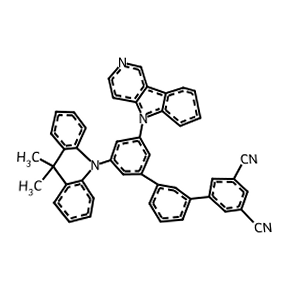 CC1(C)c2ccccc2N(c2cc(-c3cccc(-c4cc(C#N)cc(C#N)c4)c3)cc(-n3c4ccccc4c4cnccc43)c2)c2ccccc21